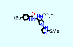 CCOC(=O)n1nc(NC(=O)c2ccc(C(C)(C)C)cc2)c2c1CN(c1ccnc(SC)n1)C2